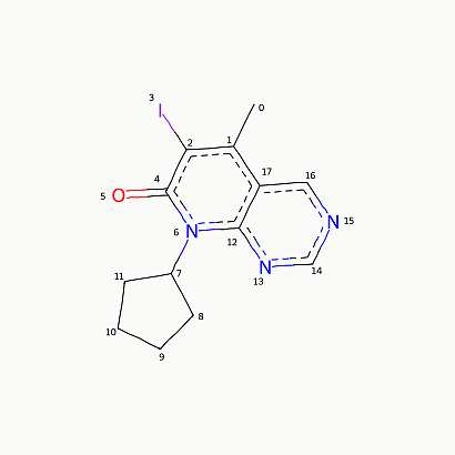 Cc1c(I)c(=O)n(C2CCCC2)c2ncncc12